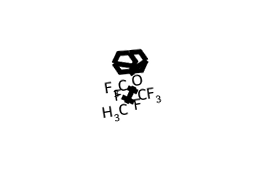 CC(F)(F)C(OC12CC3CC(CC(C3)C1)C2)(C(F)(F)F)C(F)(F)F